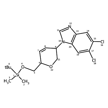 CC(C)(C)[Si](C)(C)OCC1C=CC(n2cnc3cc(Cl)c(Cl)cc32)CO1